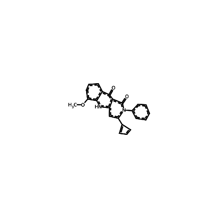 COc1cccc2c(=O)c3c(=O)n(-c4ccccc4)c(C4=CC=C4)cc3[nH]c12